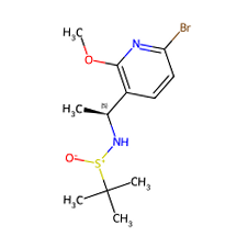 COc1nc(Br)ccc1[C@H](C)N[S+]([O-])C(C)(C)C